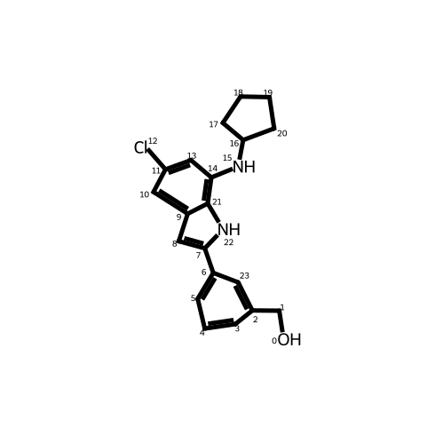 OCc1cccc(-c2cc3cc(Cl)cc(NC4CCCC4)c3[nH]2)c1